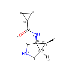 C[C@H]1[C@H]2CNC[C@@]21NC(=O)C1CC1